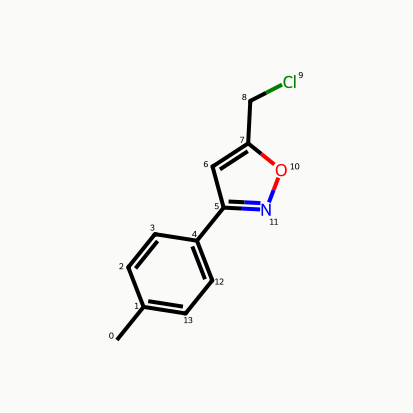 Cc1ccc(-c2cc(CCl)on2)cc1